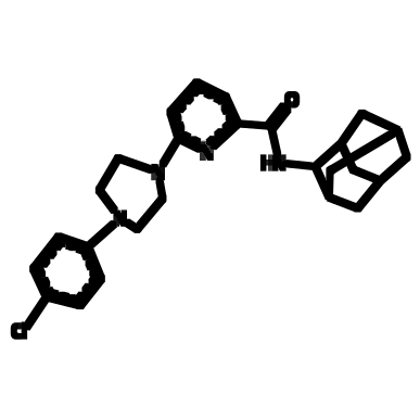 O=C(NC1C2CC3CC(C2)CC1C3)c1cccc(N2CCN(c3ccc(Cl)cc3)CC2)n1